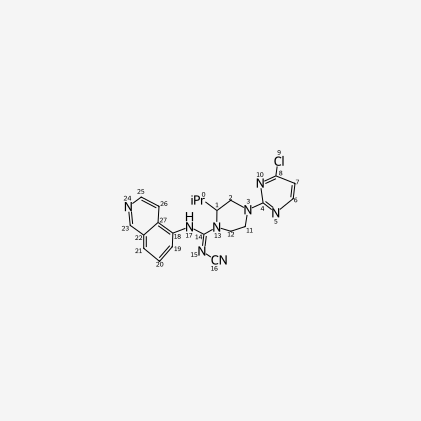 CC(C)C1CN(c2nccc(Cl)n2)CCN1/C(=N\C#N)Nc1cccc2cnccc12